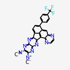 [C-]#[N+]c1nc2nc3c(nc2nc1[N+]#[C-])-c1c2nccnc2cc2c(-c4ccc(C(F)(F)F)cc4)ccc-3c12